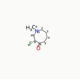 CN1CCCCC(=O)C(F)C1